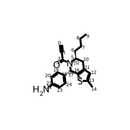 C#CC(=O)N1[C@@H](CCCC)Cc2cc(C)sc2[C@@H]1c1ccc(N)cc1